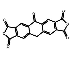 O=C1c2cc3c(cc2Cc2cc4c(cc21)C(=O)OC4=O)C(=O)OC3=O